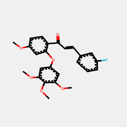 COc1ccc(C(=O)/C=C/c2cccc(F)c2)c(Oc2cc(OC)c(OC)c(OC)c2)c1